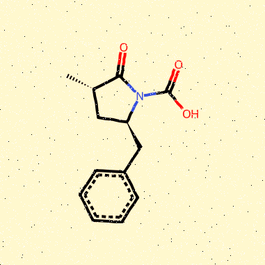 C[C@H]1C[C@H](Cc2ccccc2)N(C(=O)O)C1=O